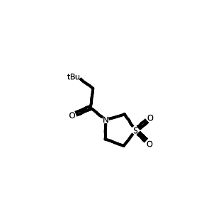 CC(C)(C)CC(=O)N1CCS(=O)(=O)C1